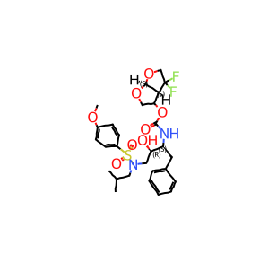 COc1ccc(S(=O)(=O)N(CC(C)C)C[C@@H](O)[C@H](Cc2ccccc2)NC(=O)OC2CO[C@H]3OCC(F)(F)[C@@H]23)cc1